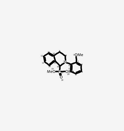 COc1ccccc1N1CCc2ccccc2C1P(=O)(OC)OC